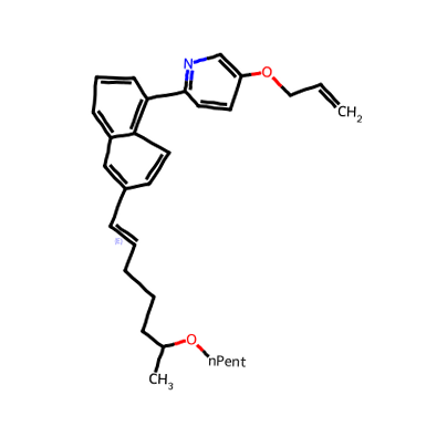 C=CCOc1ccc(-c2cccc3cc(/C=C/CCCC(C)OCCCCC)ccc23)nc1